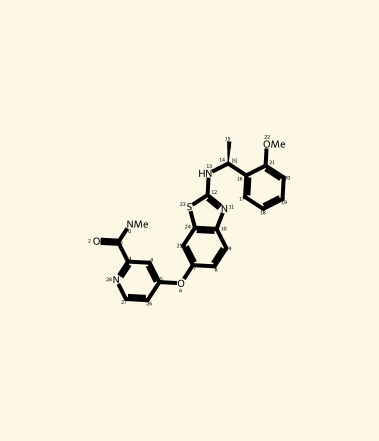 CNC(=O)c1cc(Oc2ccc3nc(N[C@@H](C)c4ccccc4OC)sc3c2)ccn1